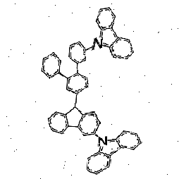 c1ccc(-c2cc(C3c4ccccc4-c4cc(-n5c6ccccc6c6ccccc65)ccc43)ccc2-c2cccc(-n3c4ccccc4c4ccccc43)c2)cc1